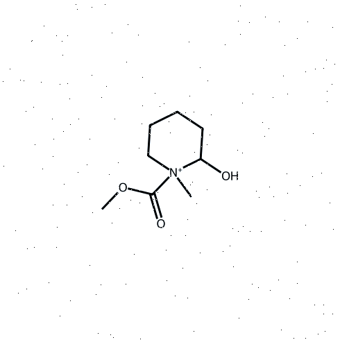 COC(=O)[N+]1(C)CCCCC1O